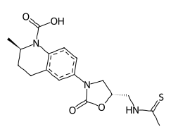 CC(=S)NC[C@H]1CN(c2ccc3c(c2)CC[C@@H](C)N3C(=O)O)C(=O)O1